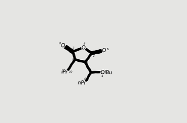 CCCC(OCC(C)C)C1C(=O)OC(=O)C1C(C)C